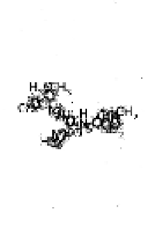 C=C(C[C@H]1CCc2cc(SNC(=O)c3ccc(N4CCN(CC5=C(c6ccc(Cl)cc6)CC(C)(C)CC5)CC4)cc3Oc3cnc4[nH]ccc4c3)cc(N)c2N1)N1CCOCC1